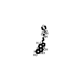 CC[C@H]1[C@@H](O)[C@@H]2[C@H](CC[C@]3(C)[C@@H](CCCNC(=O)NS(=O)(=O)N4CCOCC4)CC[C@@H]23)[C@@]2(C)CC[C@@H](O)C[C@@H]12